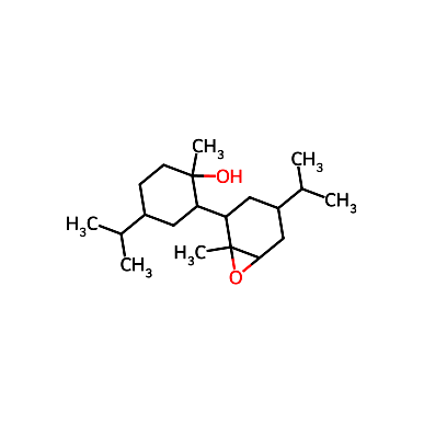 CC(C)C1CCC(C)(O)C(C2CC(C(C)C)CC3OC32C)C1